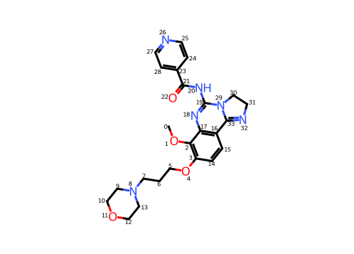 COc1c(OCCCN2CCOCC2)ccc2c1N=C(NC(=O)c1ccncc1)N1CCN=C21